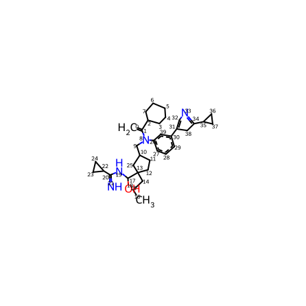 C=C(C1CCCCC1)N(CC1CCC(CCC)(C(O)NC(=N)C2CC2)C1)c1cccc(C2=CN=C(C3CC3)C2)c1